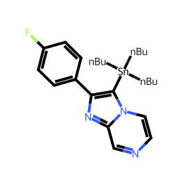 CCC[CH2][Sn]([CH2]CCC)([CH2]CCC)[c]1c(-c2ccc(F)cc2)nc2cnccn12